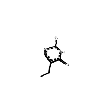 CCc1cnc(Cl)[nH]c1=O